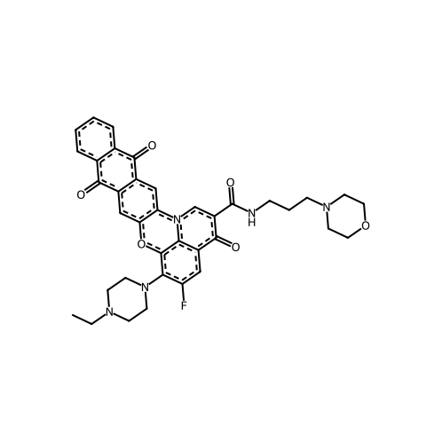 CCN1CCN(c2c(F)cc3c(=O)c(C(=O)NCCCN4CCOCC4)cn4c5cc6c(=O)c7ccccc7c(=O)c6cc5oc2c34)CC1